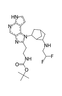 CC(C)(C)OC(=O)NCCc1nc2cnc3[nH]ccc3c2n1C1CC2CC(NCC(F)F)C1C2